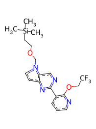 C[Si](C)(C)CCOCn1ccc2nc(-c3cccnc3OCC(F)(F)F)ncc21